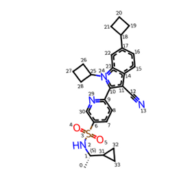 C[C@H](NS(=O)(=O)c1ccc(-c2c(C#N)c3ccc(C4CCC4)cc3n2C2CCC2)nc1)C1CC1